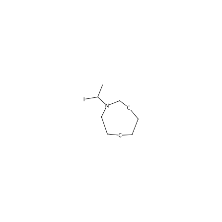 CC(I)N1CCCCCCC1